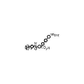 CCCCCC1CCC(c2ccc(-c3ccc(C4(C(=O)O)CCC(C(=O)Nc5ccc(B6OC(C)(C)C(C)(C)O6)c(C)c5)CC4)cc3)cc2)CC1